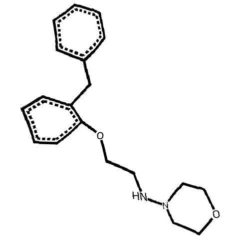 c1ccc(Cc2ccccc2OCCNN2CCOCC2)cc1